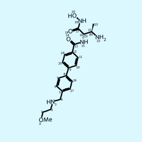 COCCNCc1ccc(-c2ccc(C(=O)N[C@H](C(=O)NO)[C@@H](C)N)cc2)cc1